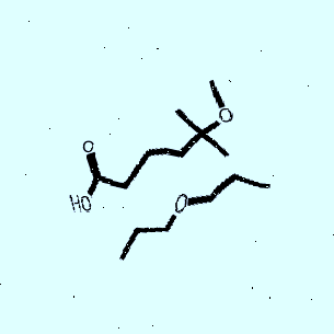 CCCOCCC.COC(C)(C)CCCC(=O)O